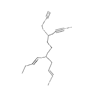 C#CCC(C#CC)CCC(C=CCC)CC=CC